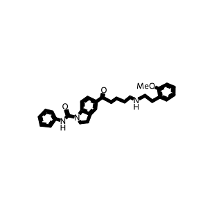 COc1ccccc1CCNCCCCC(=O)c1ccc2c(c1)CCN2C(=O)Nc1ccccc1